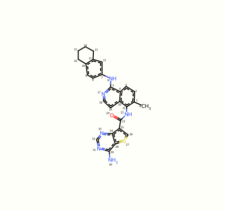 Cc1ccc2c(Nc3ccc4c(c3)CCCC4)nccc2c1NC(=O)c1csc2c(N)ncnc12